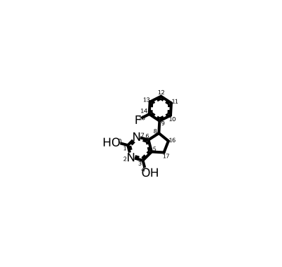 Oc1nc(O)c2c(n1)C(c1ccccc1F)CC2